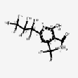 NC(=O)c1c(C(F)(F)F)cc(C(F)(F)C(F)(F)C(F)(F)F)nc1O